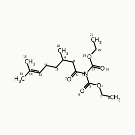 CCOC(=O)N(C(=O)CC(C)CCC=C(C)C)C(=O)OCC